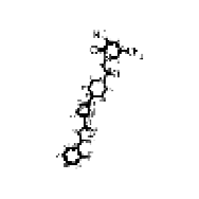 N#Cc1cc(C(F)(F)F)cn(CC(=O)N2CCC(c3nc(C4=NOC(c5ccccc5F)C4)cs3)CC2)c1=O